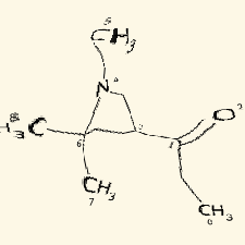 CC(=O)C1N(C)C1(C)C